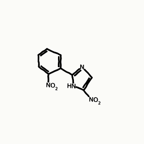 O=[N+]([O-])c1cnc(-c2ccccc2[N+](=O)[O-])[nH]1